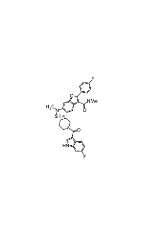 CNC(=O)c1c(-c2ccc(F)cc2)oc2cc(N(C)S)c([C@H]3CCCN(C(=O)c4c[nH]c5cc(F)ccc45)C3)cc12